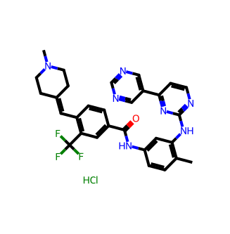 Cc1ccc(NC(=O)c2ccc(C=C3CCN(C)CC3)c(C(F)(F)F)c2)cc1Nc1nccc(-c2cncnc2)n1.Cl